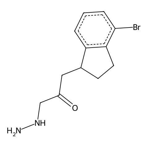 NNCC(=O)CC1CCc2c(Br)cccc21